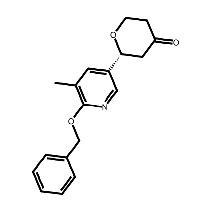 Cc1cc([C@H]2CC(=O)CCO2)cnc1OCc1ccccc1